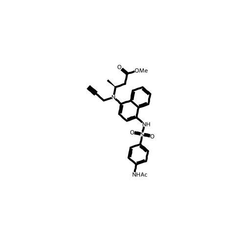 C#CCN(c1ccc(NS(=O)(=O)c2ccc(NC(C)=O)cc2)c2ccccc12)[C@@H](C)CC(=O)OC